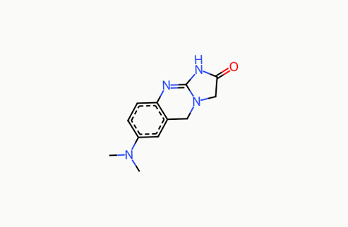 CN(C)c1ccc2c(c1)CN1CC(=O)NC1=N2